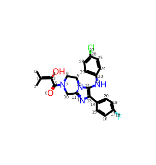 CC(C)=C(O)C(=O)N1CCn2c(nc(-c3ccc(F)cc3)c2Nc2ccc(Cl)cc2)C1